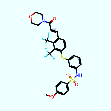 COc1ccc(S(=O)(=O)Nc2cccc(Sc3ccc(/C=C/C(=O)N4CCOCC4)c(C(F)(F)F)c3C(F)(F)F)c2)cc1